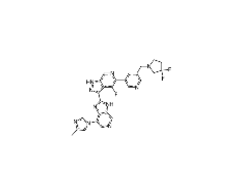 Cc1cn(-c2cncc3[nH]c(-c4n[nH]c5cnc(-c6cncc(CN7CCC(F)(F)C7)c6)c(F)c45)nc23)cn1